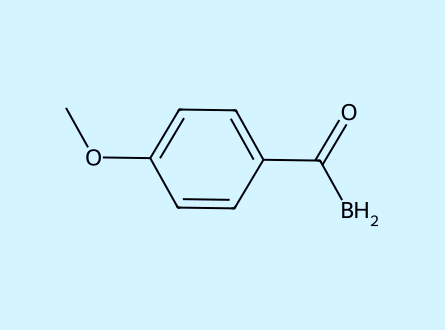 BC(=O)c1ccc(OC)cc1